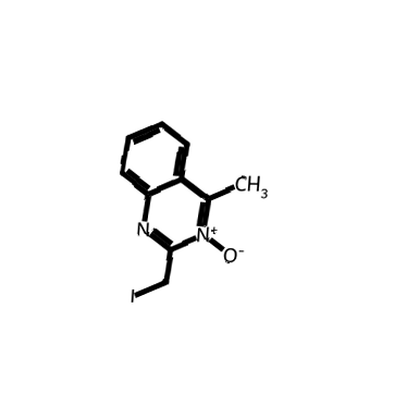 Cc1c2ccccc2nc(CI)[n+]1[O-]